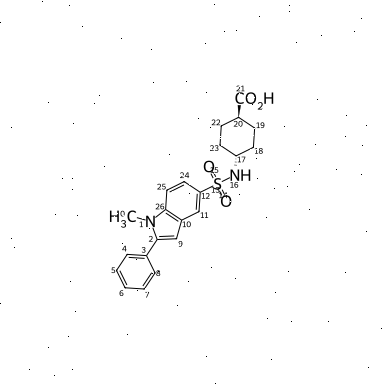 Cn1c(-c2ccccc2)cc2cc(S(=O)(=O)N[C@H]3CC[C@H](C(=O)O)CC3)ccc21